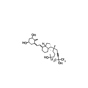 C=C1/C(=C\C=C2/CCC[C@]3(C)[C@@H]([C@](C)(CC#CC(O)(C(F)(F)F)C(F)(F)F)CCCC(C)(C)O)CC[C@@H]23)C[C@@H](O)CC1O